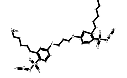 CCCCCCCCCCCCCCCc1cc(OCCCOc2ccc(S(=O)(=O)N=[N+]=[N-])c(CCCCCCCCCCCCCCC)c2)ccc1S(=O)(=O)N=[N+]=[N-]